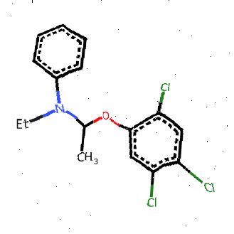 CCN(c1ccccc1)C(C)Oc1cc(Cl)c(Cl)cc1Cl